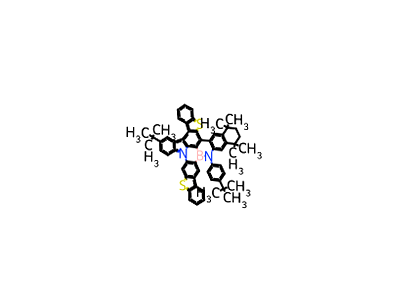 CC(C)(C)c1ccc(N2B3c4cc5c(cc4-n4c6ccc(C(C)(C)C)cc6c6c7c(sc8ccccc87)c(c3c64)-c3cc4c(cc32)C(C)(C)CCC4(C)C)sc2ccccc25)cc1